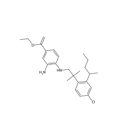 C=C(OCC)c1ccc(NCC(C)(C)c2ccc(Cl)cc2C(C)CCC)c(N)c1